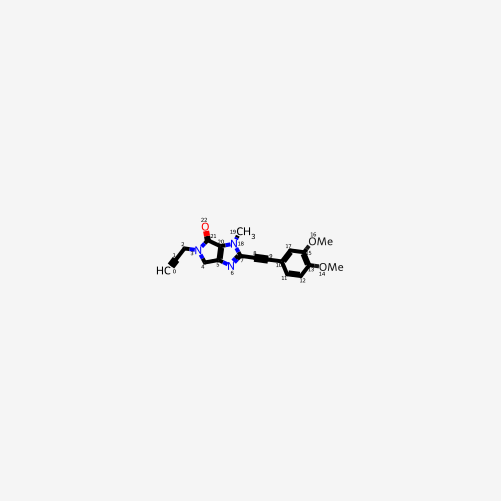 C#CCN1Cc2nc(C#Cc3ccc(OC)c(OC)c3)n(C)c2C1=O